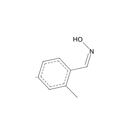 Cc1c[c]ccc1/C=N\O